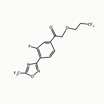 O=C(COCCC(F)(F)F)c1ccc(-c2noc(C(F)(F)F)n2)c(F)c1